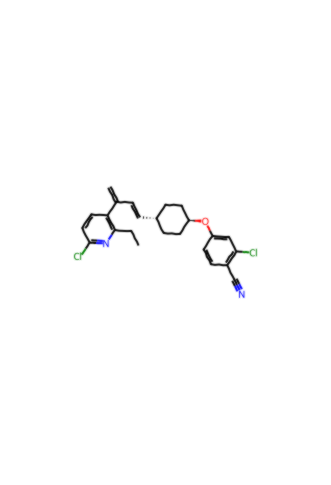 C=C(/C=C/[C@H]1CC[C@H](Oc2ccc(C#N)c(Cl)c2)CC1)c1ccc(Cl)nc1CC